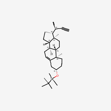 C#C[C@H](C)[C@H]1CC[C@H]2[C@@H]3CC=C4C[C@@H](O[Si](C)(C)C(C)(C)C)CC[C@]4(C)[C@H]3CC[C@]12C